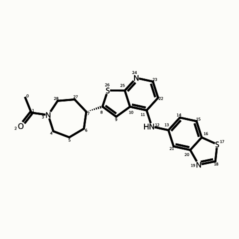 CC(=O)N1CCC[C@@H](c2cc3c(Nc4ccc5scnc5c4)ccnc3s2)CC1